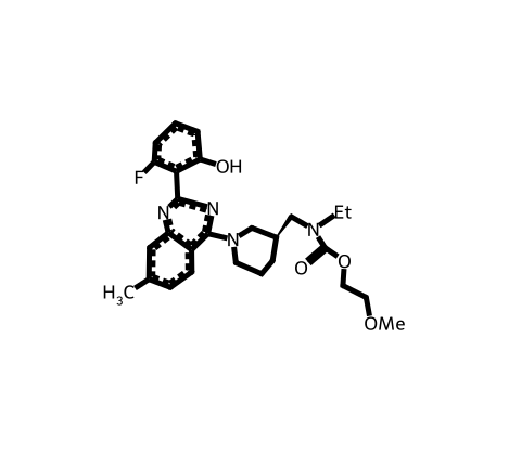 CCN(C[C@H]1CCCN(c2nc(-c3c(O)cccc3F)nc3cc(C)ccc23)C1)C(=O)OCCOC